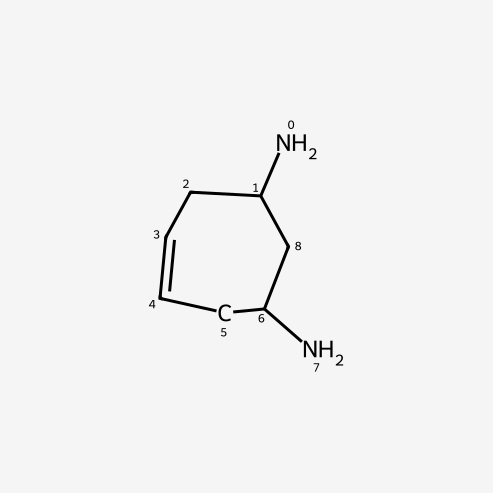 NC1CC=CCC(N)C1